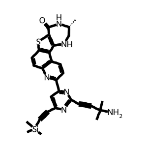 C[C@@H]1CNc2c(sc3ccc4nc(-c5cc(C#C[Si](C)(C)C)nc(C#CC(C)(C)N)n5)ccc4c23)C(=O)N1